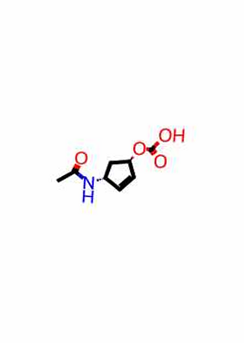 CC(=O)N[C@H]1C=C[C@@H](OC(=O)O)C1